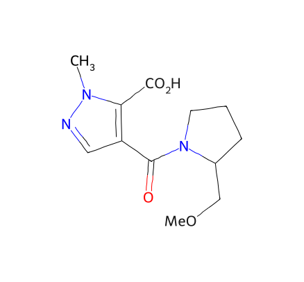 COCC1CCCN1C(=O)c1cnn(C)c1C(=O)O